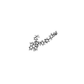 CC(C)(C)c1ccc(C(=O)N[C@@H](Cc2ccc(-c3ncc(-c4ccc(OC(F)(F)F)cc4)cn3)cc2)C(=O)NC(C(=O)CO)C(O)c2ccccc2)s1